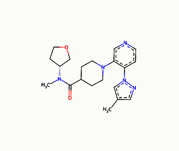 Cc1cnn(-c2ccncc2N2CCC(C(=O)N(C)[C@@H]3CCOC3)CC2)c1